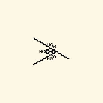 CCCCCCCCCCCCC(c1cc(CCCCCCCCC)cc(C(CCCCCCCCCCCC)S(=O)O)c1-c1ccc(O)cc1)S(=O)O